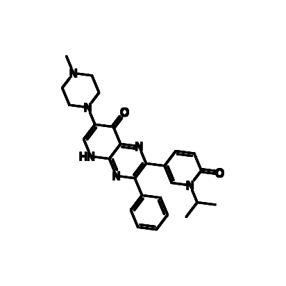 CC(C)n1cc(-c2nc3c(=O)c(N4CCN(C)CC4)c[nH]c3nc2-c2ccccc2)ccc1=O